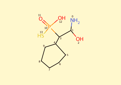 NC(O)C(C1CCCCC1)P(=O)(O)S